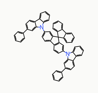 c1ccc(-c2ccc3c4ccccc4n(-c4ccc5c(c4)C4(c6ccccc6-c6ccccc64)c4cc(-n6c7ccccc7c7ccc(-c8ccccc8)cc76)ccc4-5)c3c2)cc1